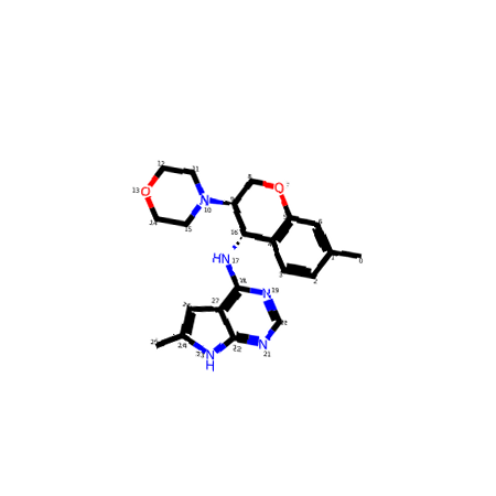 Cc1ccc2c(c1)OC[C@H](N1CCOCC1)[C@H]2Nc1ncnc2[nH]c(C)cc12